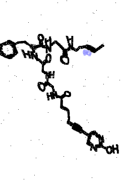 C/C=C/CNC(=O)CNC(=O)[C@H](Cc1ccccc1)NC(=O)CNC(=O)CNC(=O)CCCC#Cc1cnc(O)nc1